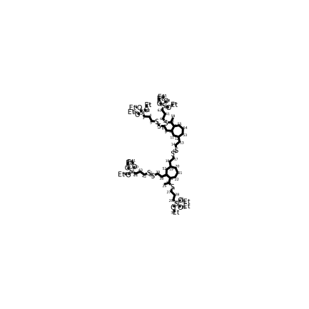 CCO[Si](CCCSSCCC1CC(CCSSCCC2CCCC(C(C)SCCC[Si](OCC)(OCC)OCC)C(CCSSCCC[Si](OCC)(OCC)OCC)C2)CCCC1C(C)SCCC[Si](OCC)(OCC)OCC)(OCC)OCC